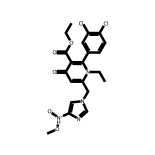 CCOC(=O)c1c(-c2ccc(Cl)c(Cl)c2)n(CC)c(Cn2cnc([NH+]([O-])OC)c2)cc1=O